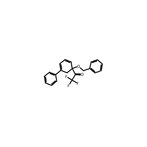 O=C(C(F)(F)F)C1(OCc2ccccc2)C=CC=C(c2ccccc2)C1